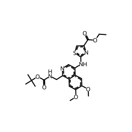 CCOC(=O)c1csc(Nc2cnc(CNC(=O)OC(C)(C)C)c3cc(OC)c(OC)cc23)n1